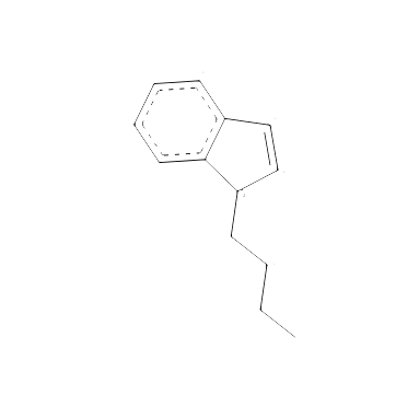 CCCC[C]1C=Cc2ccccc21